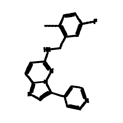 Cc1ccc(F)cc1CNc1ccc2ncc(-c3ccncc3)n2n1